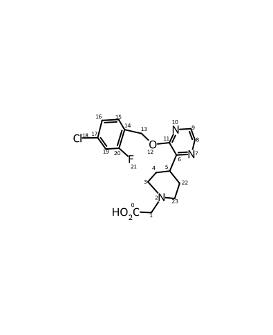 O=C(O)CN1CCC(c2nccnc2OCc2ccc(Cl)cc2F)CC1